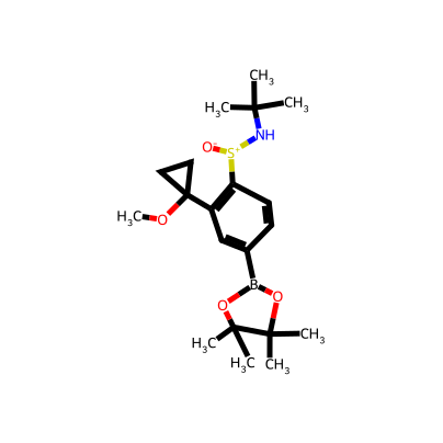 COC1(c2cc(B3OC(C)(C)C(C)(C)O3)ccc2[S+]([O-])NC(C)(C)C)CC1